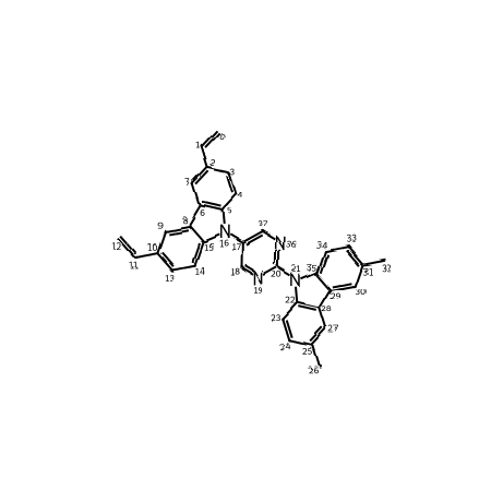 C=Cc1ccc2c(c1)c1cc(C=C)ccc1n2-c1cnc(-n2c3ccc(C)cc3c3cc(C)ccc32)nc1